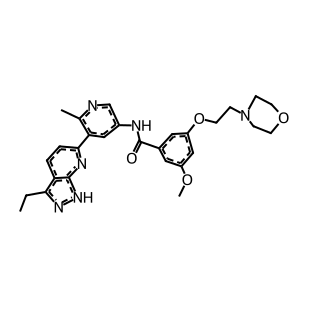 CCc1n[nH]c2nc(-c3cc(NC(=O)c4cc(OC)cc(OCCN5CCOCC5)c4)cnc3C)ccc12